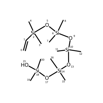 C=C[Si](C)(C)O[Si](C)(C)O[Si](C)(C)O[Si](C)(C)O[Si](C)(C)O